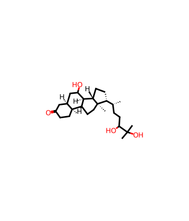 C[C@H](CCC(O)C(C)(C)O)[C@H]1CC[C@H]2[C@@H]3C(O)C[C@@H]4CC(=O)CC[C@]4(C)[C@H]3CC[C@]12C